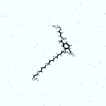 CCCOCCCOCCCOCCCCNc1cc(C(=S)NCCCSC)ccc1CC